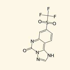 O=c1nc2cc(S(=O)(=O)C(F)(F)F)ccc2c2[nH]cnn12